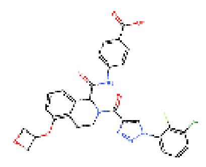 O=C(O)c1ccc(NC(=O)C2c3cccc(OC4COC4)c3CCN2C(=O)c2cn(-c3cccc(Cl)c3F)nn2)cc1